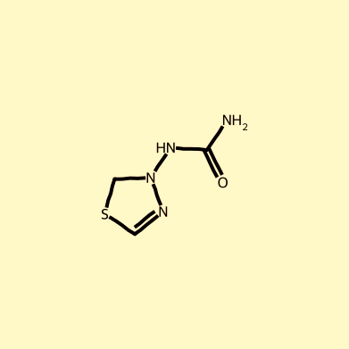 NC(=O)NN1CSC=N1